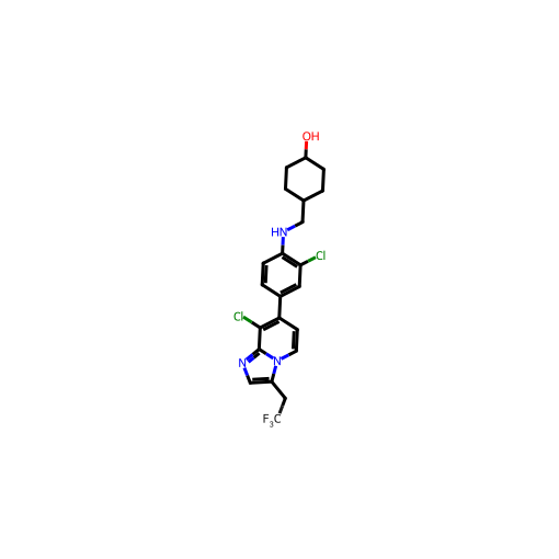 OC1CCC(CNc2ccc(-c3ccn4c(CC(F)(F)F)cnc4c3Cl)cc2Cl)CC1